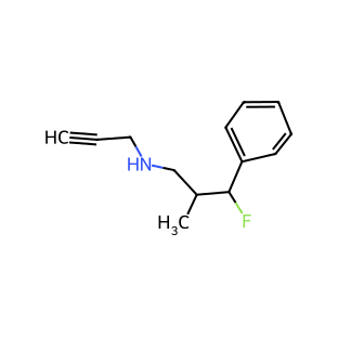 C#CCNCC(C)C(F)c1ccccc1